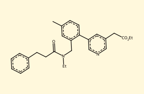 CCOC(=O)Cc1cncc(-c2ccc(C)cc2CN(CC)C(=O)CCc2ccccc2)c1